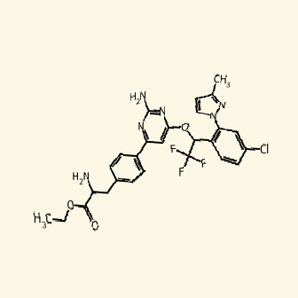 CCOC(=O)C(N)Cc1ccc(-c2cc(OC(c3ccc(Cl)cc3-n3ccc(C)n3)C(F)(F)F)nc(N)n2)cc1